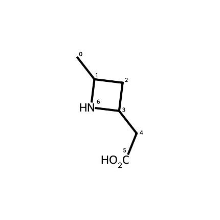 CC1CC(CC(=O)O)N1